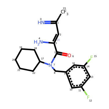 N=C(/C=C(\N)C(=O)N(Cc1cc(F)cc(F)c1)C1CCCCC1)C(F)(F)F